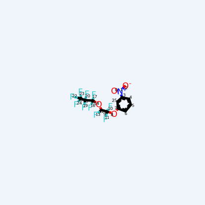 O=[N+]([O-])c1cccc(OC(F)(F)C(F)OC(F)(F)C(F)(F)C(F)(F)F)c1